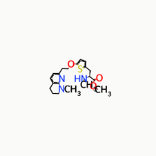 CN[C@@H](Cc1ccc(OCCc2ccc3c(n2)N(C)CCC3)s1)C(=O)OC